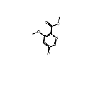 COC(=O)c1ncc(Cl)cc1OC